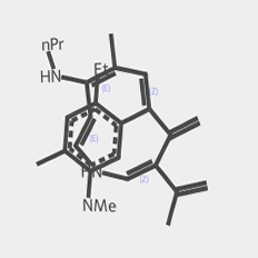 C=C(C)/C1=C/N/C=C/C(NCCC)=C(C)\C=C(/c2cc(NC)c(C)cc2CC)C1=C